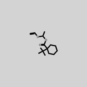 C=COC(C)OC(=O)C1(C(C)(C)C)CCCCC1